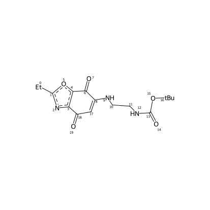 CCc1nc2c(o1)C(=O)C(NCCNC(=O)OC(C)(C)C)=CC2=O